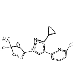 CC(C)(C)OC(=O)n1cc(-c2cccc(Cl)n2)c(C2CC2)n1